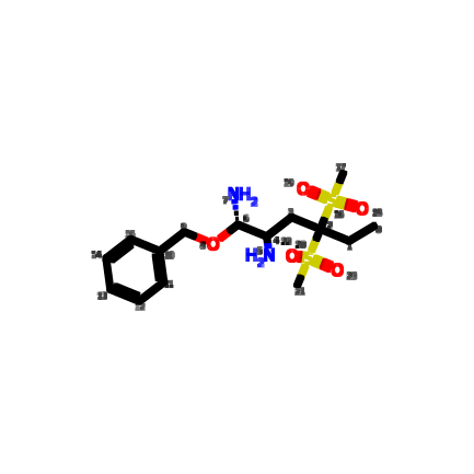 CCC(CC(N)[C@@H](N)OCc1ccccc1)(S(C)(=O)=O)S(C)(=O)=O